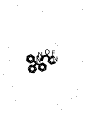 O=C(c1cn(C(c2ccccc2)(c2ccccc2)c2ccccc2)cn1)c1cccnc1F